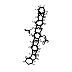 CC(=O)Oc1c2c(c(OC(C)=O)c3c1C1CC3c3cc4c(cc31)C1C3=CCCCC3C[C@H]41)C1CC2c2cc3c(cc21)C1CC3c2ccccc21